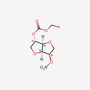 O=C(OCI)O[C@H]1CO[C@H]2[C@@H]1OC[C@H]2O[N+](=O)[O-]